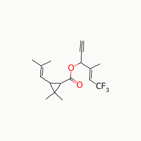 C#CC(OC(=O)C1C(C=C(C)C)C1(C)C)C(C)=CC(F)(F)F